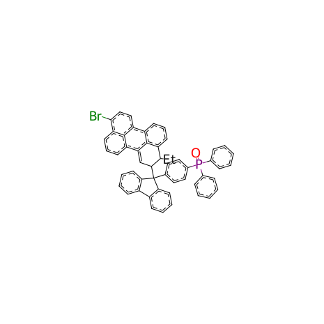 CCC1c2cccc3c2c(c2cccc4c(Br)ccc3c42)=CC1C1(c2ccc(P(=O)(c3ccccc3)c3ccccc3)cc2)c2ccccc2-c2ccccc21